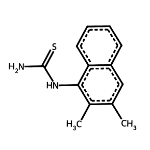 Cc1cc2ccccc2c(NC(N)=S)c1C